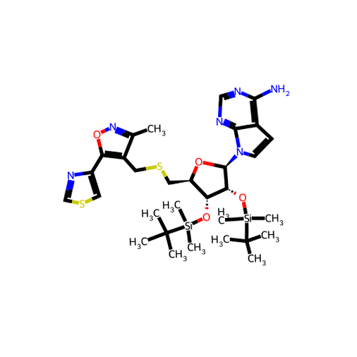 Cc1noc(-c2cscn2)c1CSC[C@H]1O[C@@H](n2ccc3c(N)ncnc32)[C@H](O[Si](C)(C)C(C)(C)C)[C@@H]1O[Si](C)(C)C(C)(C)C